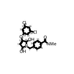 CNC(=O)c1ccc(CN2C(O)C=C(Oc3cc(Cl)cc(Cl)c3)C2O)cc1